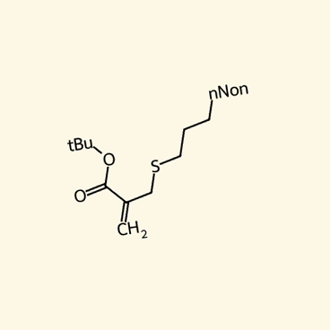 C=C(CSCCCCCCCCCCCC)C(=O)OC(C)(C)C